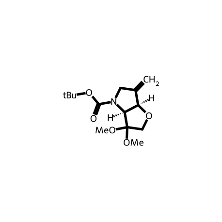 C=C1CN(C(=O)OC(C)(C)C)[C@H]2[C@@H]1OCC2(OC)OC